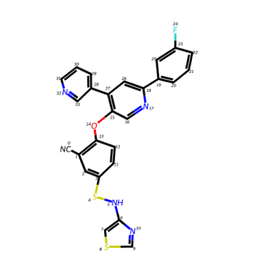 N#Cc1cc(SNc2cscn2)ccc1Oc1cnc(-c2cccc(F)c2)cc1-c1cccnc1